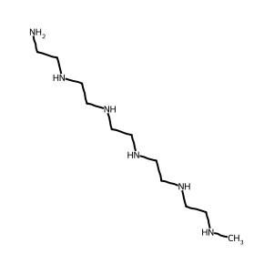 CNCCNCCNCCNCCNCCN